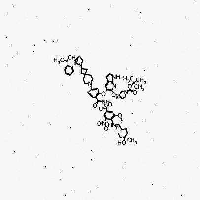 CC(C)c1ccccc1[C@@H]1CCCN1C1CC2(CCN(c3ccc(C(=O)NS(=O)(=O)c4cc5c(c([N+](=O)[O-])c4)N[C@@H]([C@H]4CC[C@](C)(O)CC4)CO5)c(Oc4cc5cc[nH]c5nc4O[C@@H]4CCN(C(=O)OC(C)(C)C)C4)c3)CC2)C1